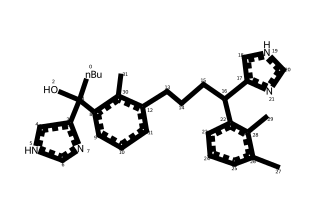 CCCCC(O)(c1c[nH]cn1)c1cccc(CCCC(c2c[nH]cn2)c2cccc(C)c2C)c1C